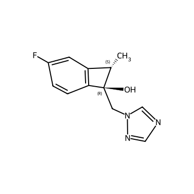 C[C@H]1c2cc(F)ccc2[C@@]1(O)Cn1cncn1